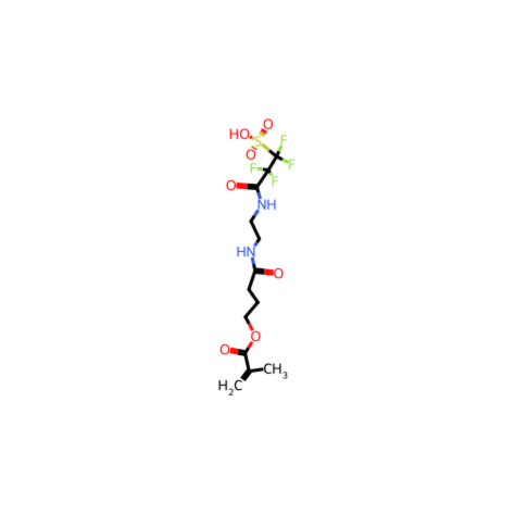 C=C(C)C(=O)OCCCC(=O)NCCNC(=O)C(F)(F)C(F)(F)S(=O)(=O)O